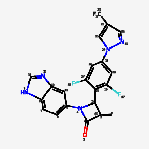 C[C@H]1C(=O)N(c2ccc3[nH]cnc3c2)C1c1c(F)cc(-n2cc(C(F)(F)F)cn2)cc1F